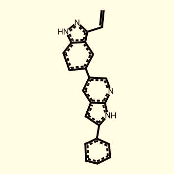 C=Cc1n[nH]c2ccc(-c3cnc4[nH]c(-c5ccccc5)cc4c3)cc12